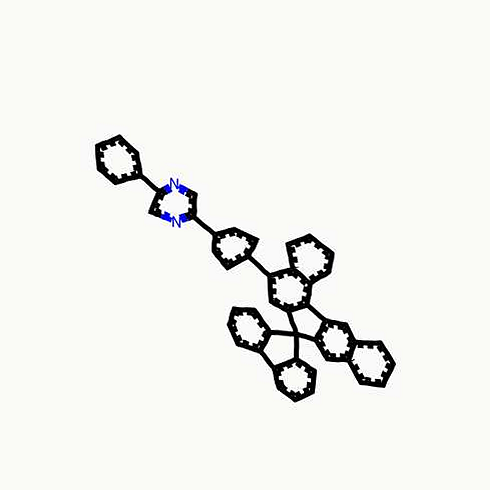 c1ccc(-c2cnc(-c3ccc(-c4cc5c(c6ccccc46)-c4cc6ccccc6cc4C54c5ccccc5-c5ccccc54)cc3)cn2)cc1